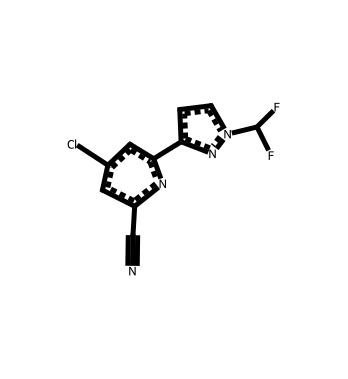 N#Cc1cc(Cl)cc(-c2ccn(C(F)F)n2)n1